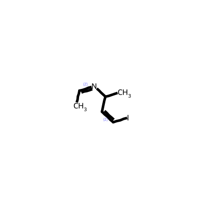 C/C=N\C(C)/C=C\I